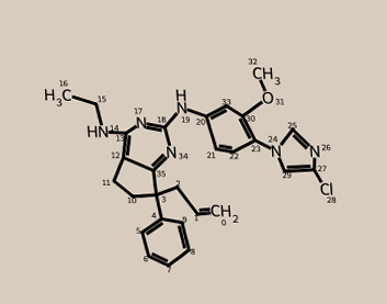 C=CCC1(c2ccccc2)CCc2c(NCC)nc(Nc3ccc(-n4cnc(Cl)c4)c(OC)c3)nc21